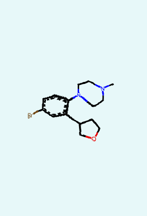 CN1CCN(c2ccc(Br)cc2C2CCOC2)CC1